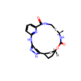 C[C@@H]1CCNC(=O)c2cccc(n2)Nc2cc([nH]n2)C2CC[C@H](C2)OC(=O)N1